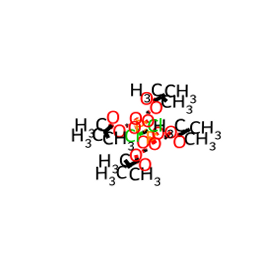 CC(C)(C)C(=O)OCOP(=O)(OCOC(=O)C(C)(C)C)C(Cl)(Cl)P(=O)(OCOC(=O)C(C)(C)C)OCOC(=O)C(C)(C)C